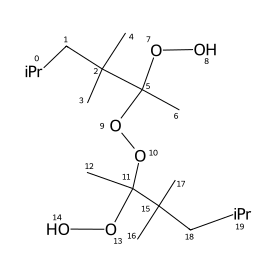 CC(C)CC(C)(C)C(C)(OO)OOC(C)(OO)C(C)(C)CC(C)C